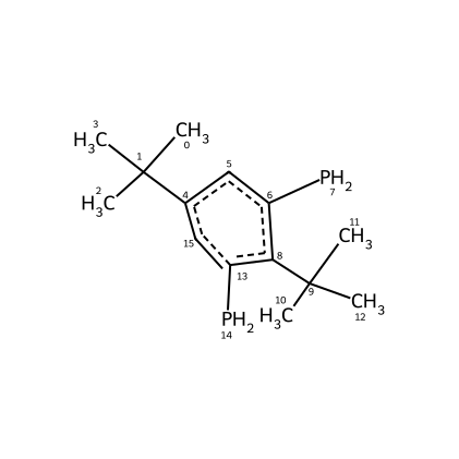 CC(C)(C)c1cc(P)c(C(C)(C)C)c(P)c1